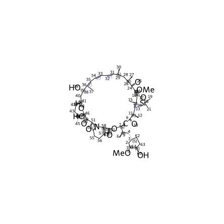 CO[C@@H]1C[C@H](C[C@@H](C)[C@@H]2CC(=O)[C@H](C)/C=C(\C)[C@@H](O[Si](C)(C)C)[C@@H](OC)C(=O)[C@H](C)C[C@H](C)/C=C/C=C/C=C(\C)[C@@H](O)C[C@@H]3CC[C@@H](C)[C@@](O)(O3)C(=O)C(=O)N3CCCC[C@H]3C(=O)O2)CC[C@H]1O